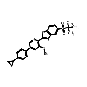 CCSc1cc(-c2ccc(C3CC3)cc2)cnc1-c1nc2cc(S(=O)(=O)C(C)(C)P)ccc2s1